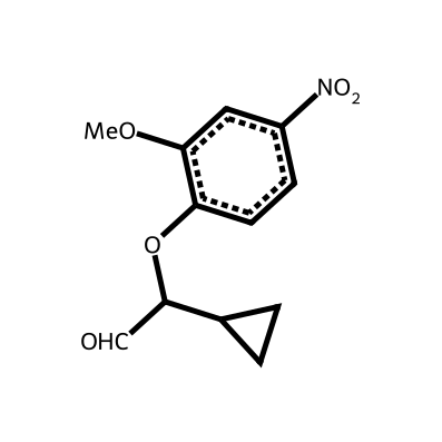 COc1cc([N+](=O)[O-])ccc1OC(C=O)C1CC1